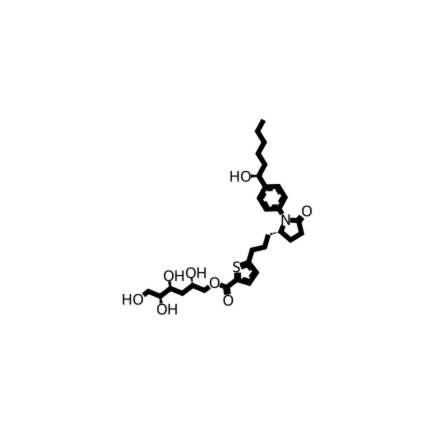 CCCCC[C@H](O)c1ccc(N2C(=O)CC[C@@H]2CCCc2ccc(C(=O)OC[C@@H](O)C[C@H](O)[C@@H](O)CO)s2)cc1